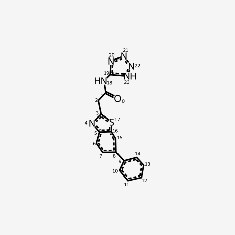 O=C(Cc1nc2ccc(-c3ccccc3)cc2s1)Nc1nnn[nH]1